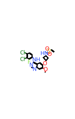 C=CS(=O)(=O)NC1CC(Oc2cc3c(Nc4ccc(Cl)c(Cl)c4F)ncnc3cc2OC)C1